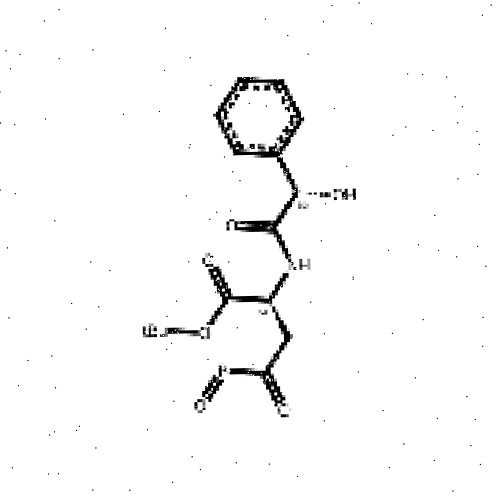 CC(C)(C)OC(=O)[C@H](CC(=O)P=O)NC(=O)[C@@H](O)c1ccccc1